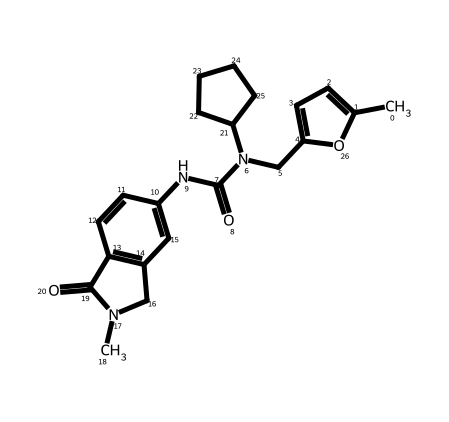 Cc1ccc(CN(C(=O)Nc2ccc3c(c2)CN(C)C3=O)C2CCCC2)o1